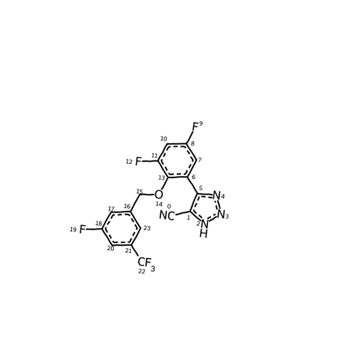 N#Cc1[nH]nnc1-c1cc(F)cc(F)c1OCc1cc(F)cc(C(F)(F)F)c1